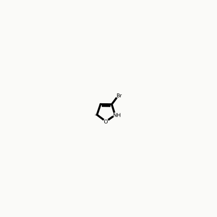 BrC1=C[C]ON1